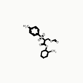 Cc1ccc(S(=O)(=O)C(COC=O)C(=O)OC2CCCCC2C)cc1